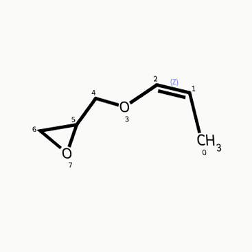 C/C=C\OCC1CO1